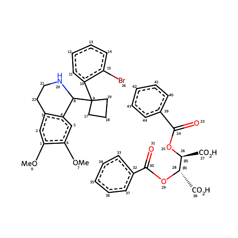 COc1cc2c(cc1OC)C(C1(c3ccccc3Br)CCC1)NCC2.O=C(O[C@@H](C(=O)O)[C@@H](OC(=O)c1ccccc1)C(=O)O)c1ccccc1